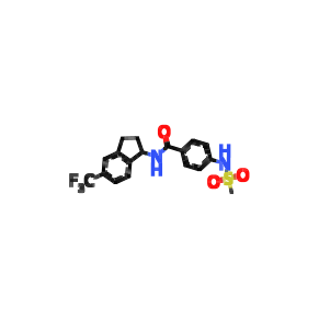 CS(=O)(=O)Nc1ccc(C(=O)NC2CCc3cc(C(F)(F)F)ccc32)cc1